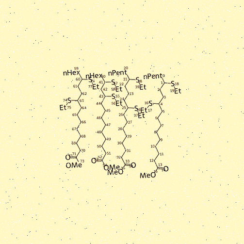 CCCCCC(CCC(CCCCCCCCC(=O)OC)SCC)SCC.CCCCCC(CCCC(CCCCCCCC(=O)OC)SCC)SCC.CCCCCCC(CC(CCCCCCCCC(=O)OC)SCC)SCC.CCCCCCC(CCC(CCCCCCCC(=O)OC)SCC)SCC